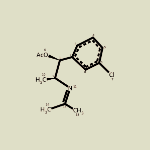 CC(=O)O[C@@H](c1cccc(Cl)c1)[C@H](C)N=C(C)C